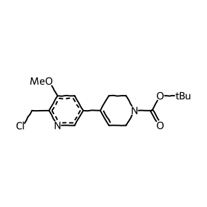 COc1cc(C2=CCN(C(=O)OC(C)(C)C)CC2)cnc1CCl